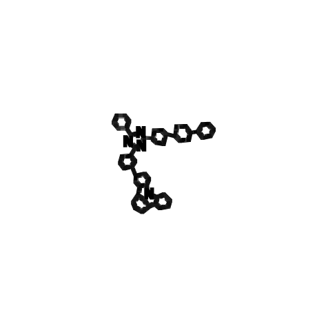 c1ccc(-c2ccc(-c3ccc(-c4nc(-c5ccccc5)nc(-c5cccc(-c6ccc7c(c6)c6cccc8c9ccccc9n7c86)c5)n4)cc3)cc2)cc1